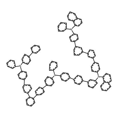 c1ccc(-c2ccc(N(c3ccccc3)c3ccc(-c4ccc(-c5ccccc5-c5ccc(-c6ccc(N(c7ccccc7)c7ccc(-c8ccc(-c9cccc(N(c%10ccc(-c%11cccc(-c%12cccc(-c%13ccc(N(c%14ccccc%14)c%14cccc%15ccccc%14%15)cc%13)c%12)c%11)cc%10)c%10cccc%11ccccc%10%11)c9)cc8)cc7)cc6)cc5)cc4)cc3)cc2)cc1